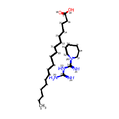 CCCCCCCCCCCCCCCCCC(=O)O.N=C(N)NC(=N)N1CCCCCC1